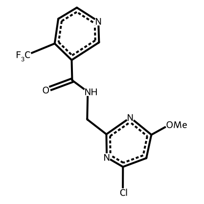 COc1cc(Cl)nc(CNC(=O)c2cnccc2C(F)(F)F)n1